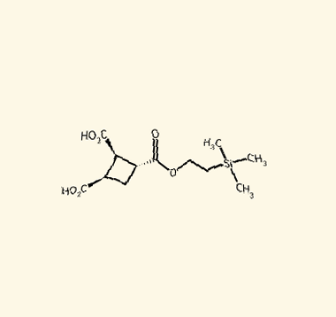 C[Si](C)(C)CCOC(=O)[C@@H]1C[C@@H](C(=O)O)[C@H]1C(=O)O